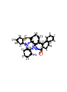 O=c1c2ccc3ccccc3c2c2ccc3c4c2n1-c1ccccc1N4c1ccccc1S3